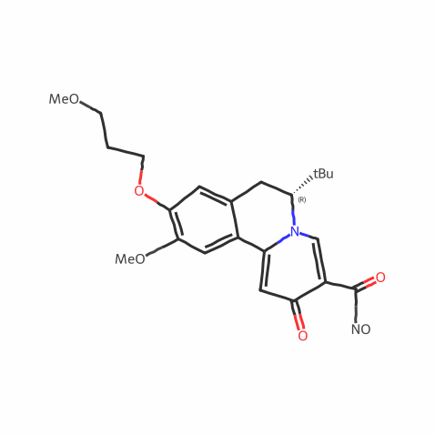 COCCCOc1cc2c(cc1OC)-c1cc(=O)c(C(=O)N=O)cn1[C@@H](C(C)(C)C)C2